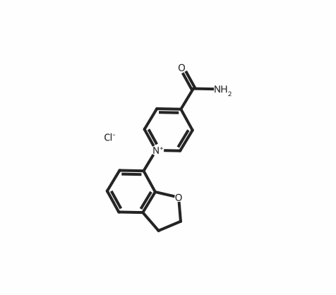 NC(=O)c1cc[n+](-c2cccc3c2OCC3)cc1.[Cl-]